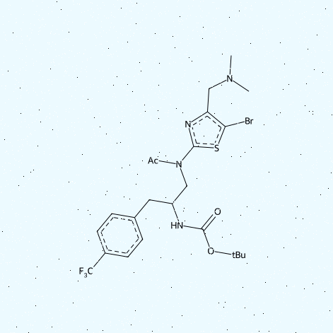 CC(=O)N(CC(Cc1ccc(C(F)(F)F)cc1)NC(=O)OC(C)(C)C)c1nc(CN(C)C)c(Br)s1